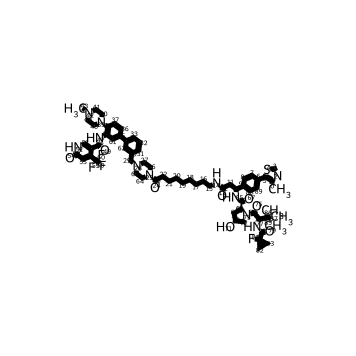 Cc1ncsc1-c1ccc(C(CC(=O)NCCCCCCCCC(=O)N2CCN(Cc3cccc(-c4ccc(N5CCN(C)CC5)c(NC(=O)c5c[nH]c(=O)cc5C(F)(F)F)c4)c3)CC2)NC(=O)[C@@H]2C[C@@H](O)CN2C(=O)C(NC(=O)C2(F)CC2)C(C)(C)C)cc1